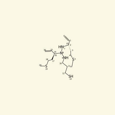 C=C[C@H](CCSC)NN(NCCCS)[C@H](C=C)CCSC